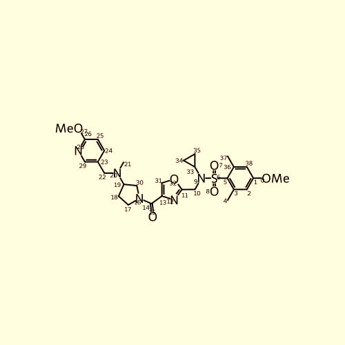 COc1cc(C)c(S(=O)(=O)N(Cc2nc(C(=O)N3CCC(N(C)Cc4ccc(OC)nc4)C3)co2)C2CC2)c(C)c1